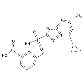 Cc1cc(C2CC2)n2nc(S(=O)(=O)Nc3c(Cl)cccc3C(=O)O)nc2n1